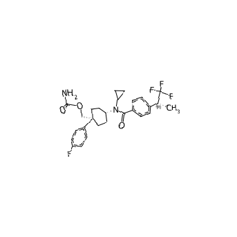 C[C@H](c1ccc(C(=O)N(C2CC2)[C@H]2CC[C@](COC(N)=O)(c3ccc(F)cc3)CC2)cc1)C(F)(F)F